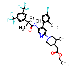 CCOC(=O)CC1CCN(c2cc(-c3ccc(F)cc3C)c(N(C)C(=O)C(C)(C)c3cc(C(F)(F)F)cc(C(F)(F)F)c3)cn2)CC1C